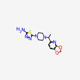 CC(c1ccc2c(n1)OCO2)N1CCN(c2nnc(N)s2)CC1